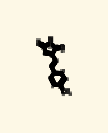 Cc1ccc(C=CC2=CC(=O)NC2=O)cc1